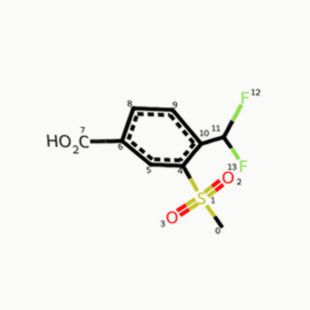 CS(=O)(=O)c1cc(C(=O)O)ccc1C(F)F